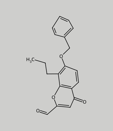 CCCc1c(OCc2ccccc2)ccc2c(=O)cc(C=O)oc12